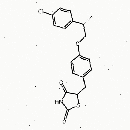 C[C@H](COc1ccc(CC2SC(=O)NC2=O)cc1)c1ccc(Cl)cc1